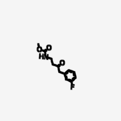 COC(=O)NCCC(=O)Cc1cccc(F)c1